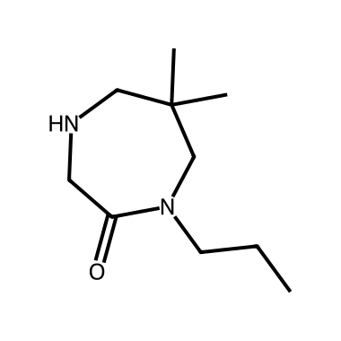 CCCN1CC(C)(C)CNCC1=O